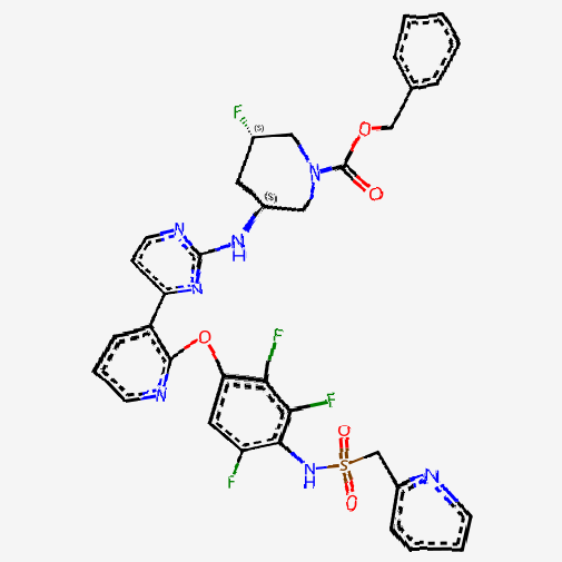 O=C(OCc1ccccc1)N1C[C@@H](F)C[C@H](Nc2nccc(-c3cccnc3Oc3cc(F)c(NS(=O)(=O)Cc4ccccn4)c(F)c3F)n2)C1